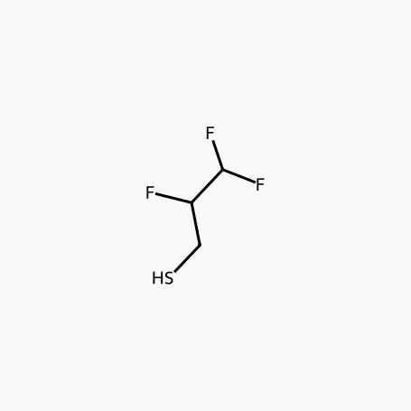 FC(F)C(F)CS